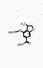 COCOc1cc(C(=O)OC)cc2c1C(C)CO2